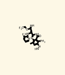 Cc1cc(N=N)c(P)c2c(=O)[nH]c(/C(=C/C(=N)OCC(F)(F)F)Nc3ncccc3F)nc12